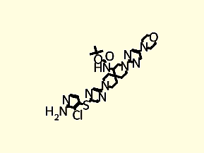 CC(C)(C)OC(=O)NC1CN(c2ncc(N3CCOCC3)cn2)CCC12CCN(c1cnc(Sc3ccnc(N)c3Cl)cn1)CC2